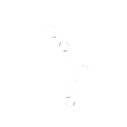 Cl.NCC(=O)c1ccc(OCC(O)CCN2CCN(c3ccccc3)CC2)cc1